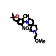 COCCN1CCC2(CCCN(c3c([N+](=O)[O-])cc4c(c3C#N)OC(C)(C)C4)C2)CC1